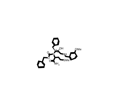 COc1cccc(CNC[C@@H](O)[C@H](Cc2ccccc2)N(C(=O)OCc2ccccc2)C(CCSC)C(N)=O)c1